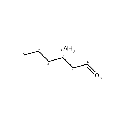 CCCCCC=O.[AlH3]